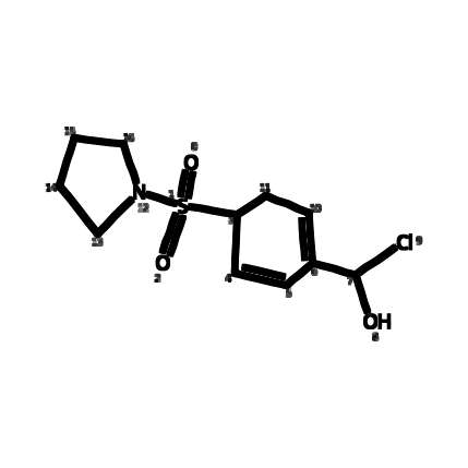 O=S(=O)(C1C=CC(C(O)Cl)=CC1)N1CCCC1